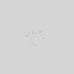 Cn1nc(-c2ccccc2)c(C(=O)C=NO)c1Oc1ccc(Cl)cc1